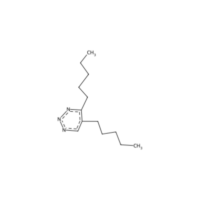 CCCCCc1cnnnc1CCCCC